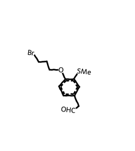 CSc1cc(CC=O)ccc1OCCCBr